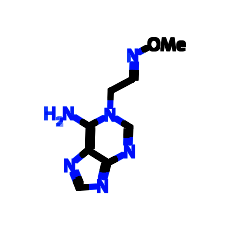 CON=CCn1cnc2ncnc-2c1N